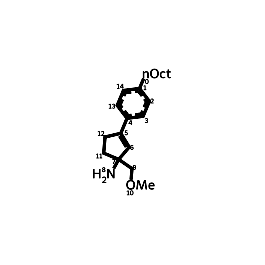 CCCCCCCCc1ccc(C2=CC(N)(COC)CC2)cc1